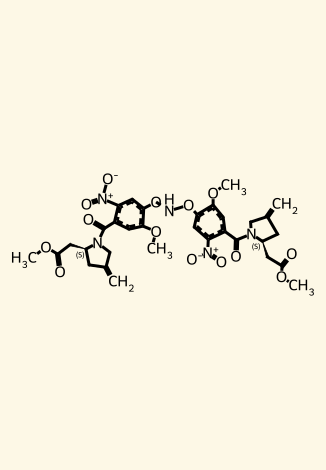 C=C1C[C@@H](CC(=O)OC)N(C(=O)c2cc(OC)c(ONOc3cc([N+](=O)[O-])c(C(=O)N4CC(=C)C[C@H]4CC(=O)OC)cc3OC)cc2[N+](=O)[O-])C1